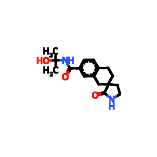 CC(C)(O)NC(=O)c1ccc2c(c1)CC1(CCNC1=O)CC2